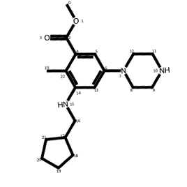 COC(=O)c1cc(N2CCNCC2)cc(NCC2CCCC2)c1C